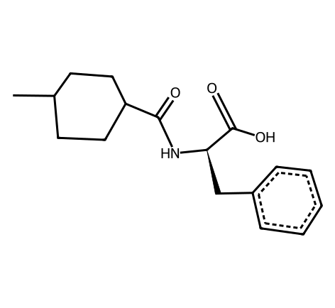 CC1CCC(C(=O)N[C@H](Cc2ccccc2)C(=O)O)CC1